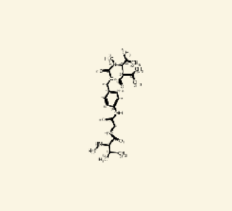 CNC(C(=O)NCC(=O)Nc1ccc(COC(=O)N(C)C(C(C)C)[C@H](C=O)C(C)C)cc1)C(C)C